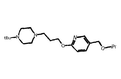 CC(C)OCc1ccc(OCCCN2CCN(C(C)(C)C)CC2)nc1